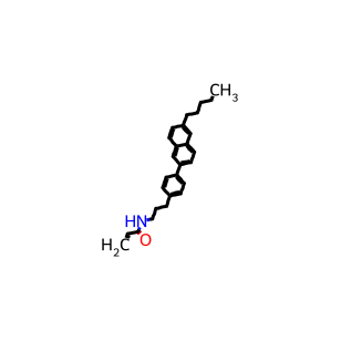 C=CC(=O)NCCCc1ccc(-c2ccc3cc(CCCCC)ccc3c2)cc1